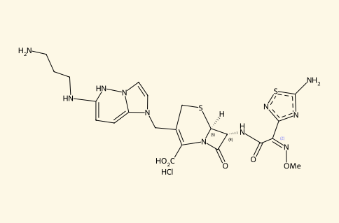 CO/N=C(\C(=O)N[C@@H]1C(=O)N2C(C(=O)O)=C(CN3C=CN4NC(NCCCN)=CC=C34)CS[C@@H]12)c1nsc(N)n1.Cl